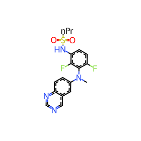 CCCS(=O)(=O)Nc1ccc(F)c(N(C)c2ccc3ncncc3c2)c1F